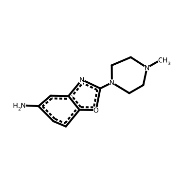 CN1CCN(c2nc3cc(N)ccc3o2)CC1